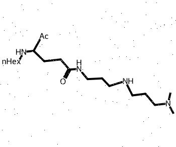 CCCCCCNC(CCC(=O)NCCCNCCCN(C)C)C(C)=O